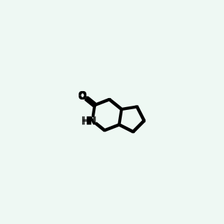 O=C1CC2CCCC2CN1